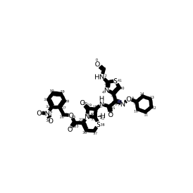 O=CNc1nc(/C(=N\OC2CCCCC2)C(=O)NC2C(=O)N3C(C(=O)OCc4ccccc4[N+](=O)[O-])=CCS[C@H]23)cs1